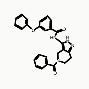 O=C(Nc1[nH]nc2c1CN(C(=O)c1ccccc1)CC2)c1cccc(Oc2ccccc2)c1